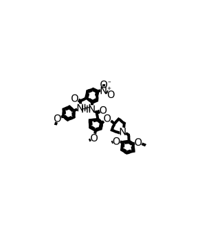 COc1ccc(NC(=O)c2ccc([N+](=O)[O-])cc2NC(=O)c2ccc(OC)cc2OC2CCN(Cc3c(OC)cccc3OC)CC2)cc1